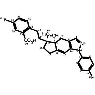 C[C@]12Cc3cnn(-c4ccc(F)cc4)c3C=C1CC[C@@]2(O)CCc1ccc(F)cc1C(=O)O